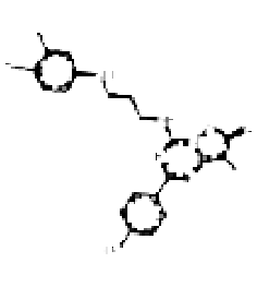 Cc1cc(NCCCNc2nc(-c3ccc(C(C)(C)C)cc3)nc3c(F)c(=O)[nH]n23)ccc1Cl